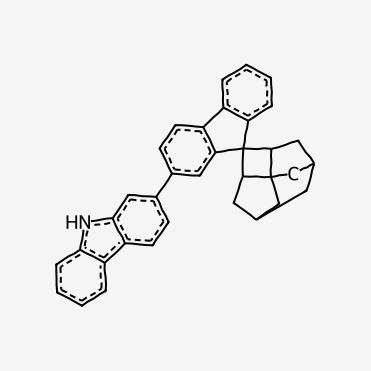 c1ccc2c(c1)-c1ccc(-c3ccc4c(c3)[nH]c3ccccc34)cc1C21C2CC3CC4CC1C2(C3)C4